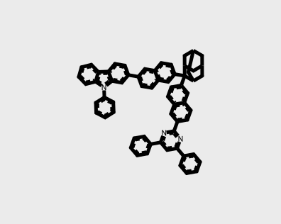 c1ccc(-c2cc(-c3ccccc3)nc(-c3ccc4cc(C5(c6ccc7cc(-c8ccc9c%10ccccc%10n(-c%10ccccc%10)c9c8)ccc7c6)C6CC7CC(C6)CC5C7)ccc4c3)n2)cc1